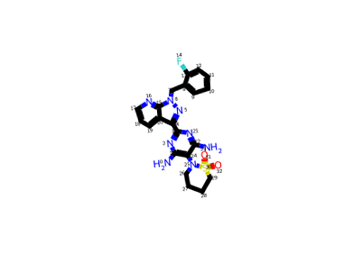 Nc1nc(-c2nn(Cc3ccccc3F)c3ncccc23)nc(N)c1N1CCCCS1(=O)=O